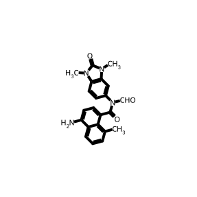 Cc1cccc2c(N)ccc(C(=O)N(C=O)c3ccc4c(c3)n(C)c(=O)n4C)c12